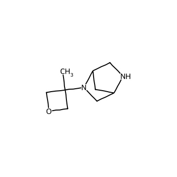 CC1(N2CC3CC2CN3)COC1